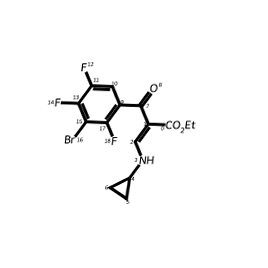 CCOC(=O)C(=CNC1CC1)C(=O)c1cc(F)c(F)c(Br)c1F